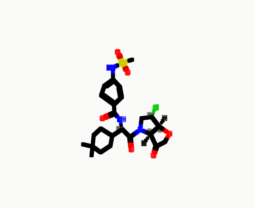 CC1(C)CCC([C@H](NC(=O)c2ccc(NS(C)(=O)=O)cc2)C(=O)N2C[C@H](Cl)[C@H]3OCC(=O)[C@H]32)CC1